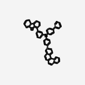 C1=CCC2C(=C1)Oc1c(-c3cccc(N(c4ccc(-c5ccccc5)cc4)c4ccc(-c5ccc6c(ccc7ccc8ccccc8c76)c5)cc4)c3)cccc12